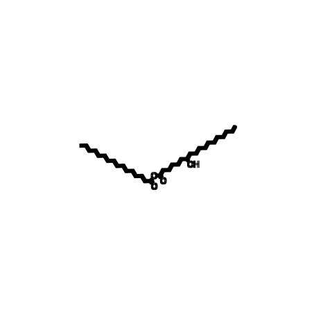 CCCCCCCCCCCCCCCC(=O)OC(=O)CCCCCC(O)CCCCCCCCCCC